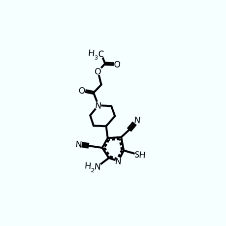 CC(=O)OCC(=O)N1CCC(c2c(C#N)c(N)nc(S)c2C#N)CC1